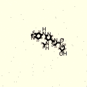 CC(C)Nc1cc(Nc2ccc3ncsc3c2)ncc1-c1nc(C(=O)N2CCC(O)C2)cs1